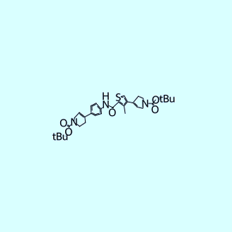 Cc1c(C2=CCN(C(=O)OC(C)(C)C)CC2)csc1C(=O)Nc1ccc(C2=CCN(C(=O)OC(C)(C)C)CC2)cc1